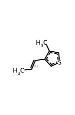 C/C=C/c1cscc1C